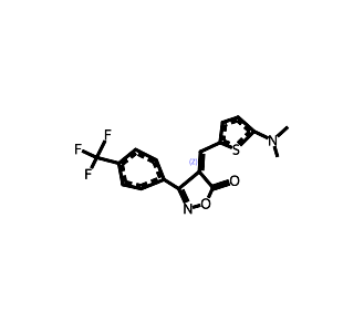 CN(C)c1ccc(/C=C2\C(=O)ON=C2c2ccc(C(F)(F)F)cc2)s1